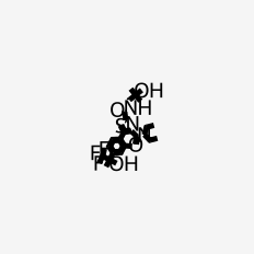 CCN(CC)C(=O)c1nc(C(=O)NCC(C)(C)O)sc1-c1ccc(C(C)(O)C(F)(F)F)cc1C